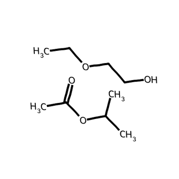 CC(=O)OC(C)C.CCOCCO